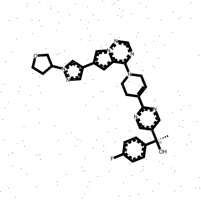 C[C@](O)(c1ccc(F)cc1)c1cnc(C2=CCN(c3ncnn4cc(-c5cnn(C6CCOC6)c5)cc34)CC2)nc1